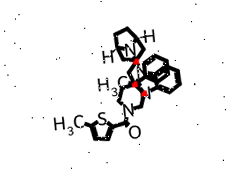 Cc1ccc(C(=O)N2CCC(CCN3[C@@H]4CC[C@H]3C[C@@H](n3c(C)nc5ccccc53)C4)(c3ccccc3)CC2)s1